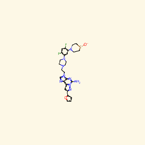 Nc1nc2c(ncn2CCN2CCN(c3cc(N4CC[S+]([O-])CC4)c(F)cc3F)CC2)c2cc(-c3ccco3)nn12